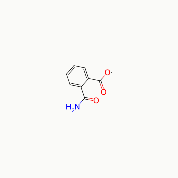 NC(=O)c1ccccc1C([O])=O